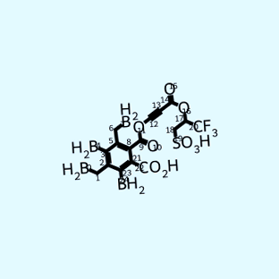 BCc1c(B)c(CB)c(C(=O)OC#CC(=O)OC(CS(=O)(=O)O)C(F)(F)F)c(C(=O)O)c1B